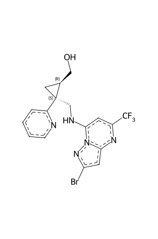 OC[C@@H]1C[C@]1(CNc1cc(C(F)(F)F)nc2cc(Br)nn12)c1ccccn1